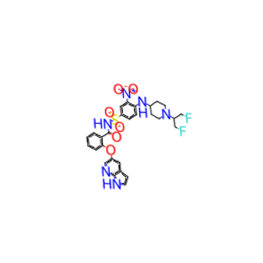 O=C(NS(=O)(=O)c1ccc(NC2CCN(C(CF)CF)CC2)c([N+](=O)[O-])c1)c1ccccc1Oc1cnc2[nH]ccc2c1